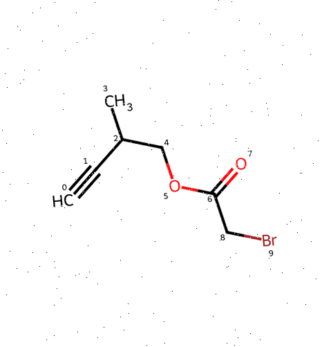 C#CC(C)COC(=O)CBr